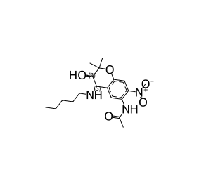 CCCCCN[C@H]1c2cc(NC(C)=O)c([N+](=O)[O-])cc2OC(C)(C)[C@@H]1O